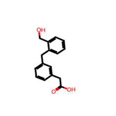 O=C(O)Cc1cccc(Cc2ccccc2CO)c1